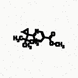 COC(=O)c1cnc(C2(C(C)(C)C)[CH]C2)nc1